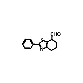 O=CC1CCCc2nc(-c3ccccc3)sc21